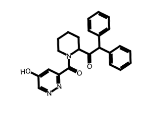 O=C(C(c1ccccc1)c1ccccc1)C1CCCCN1C(=O)c1cc(O)cnn1